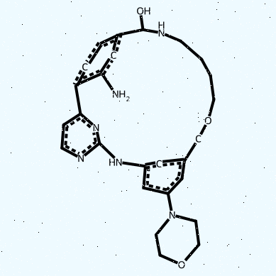 Nc1cc2ccc1-c1ccnc(n1)Nc1cc(cc(N3CCOCC3)c1)COCCCCNC2O